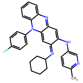 Cc1ccc(Nc2cc3nc4ccccc4n(-c4ccc(F)cc4)c-3cc2=NC2CCCCC2)cn1